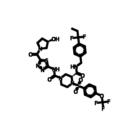 CCC(F)(F)c1ccc(CNC(=O)[C@H]2CN(C(=O)Nc3nnc(C(=O)N4CC[C@@H](O)C4)s3)CCN2S(=O)(=O)c2ccc(OC(F)(F)F)cc2)cc1